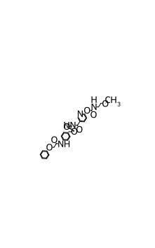 COCCNC(=O)Oc1ccc(C(=O)NS(=O)(=O)c2ccc(NC(=O)COc3ccccc3)cc2)cn1